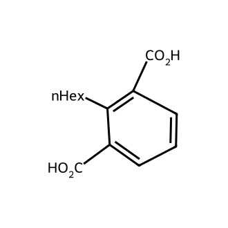 CCCCCCc1c(C(=O)O)cccc1C(=O)O